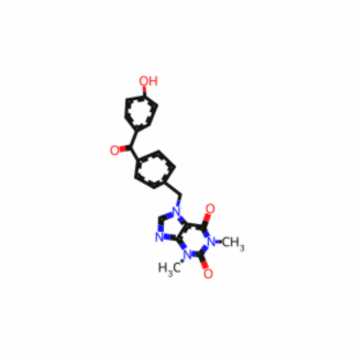 Cn1c(=O)c2c(ncn2Cc2ccc(C(=O)c3ccc(O)cc3)cc2)n(C)c1=O